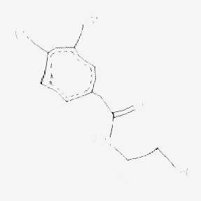 COc1cc(C(=O)N[C@@H](C)CO)ccc1N